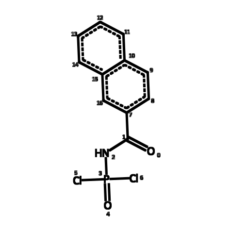 O=C(NP(=O)(Cl)Cl)c1ccc2ccccc2c1